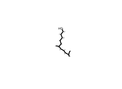 CC(C)CCCC(C)CCCCCO